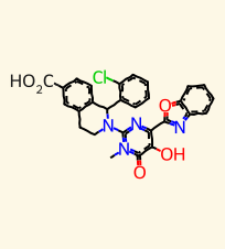 Cn1c(N2CCc3cc(C(=O)O)ccc3C2c2ccccc2Cl)nc(-c2nc3ccccc3o2)c(O)c1=O